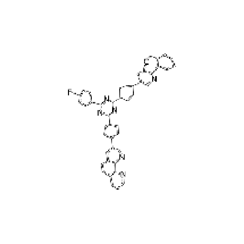 Fc1ccc(-c2nc(-c3ccc(-c4cnc5c(ccc6cccnc65)c4)cc3)nc(C3C=CC(c4cnc5c(ccc6ccccc65)c4)=CC3)n2)cc1